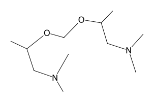 CC(CN(C)C)OCOC(C)CN(C)C